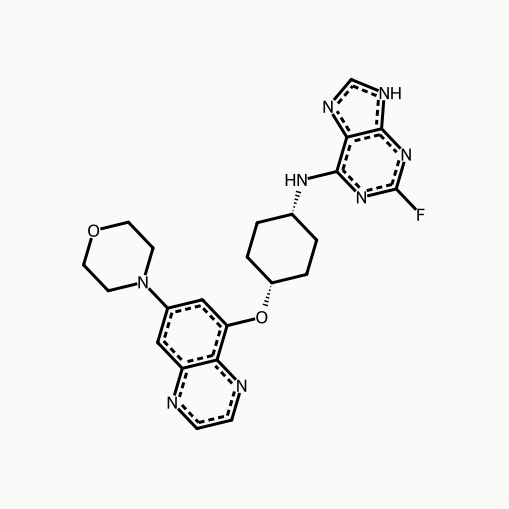 Fc1nc(N[C@H]2CC[C@@H](Oc3cc(N4CCOCC4)cc4nccnc34)CC2)c2nc[nH]c2n1